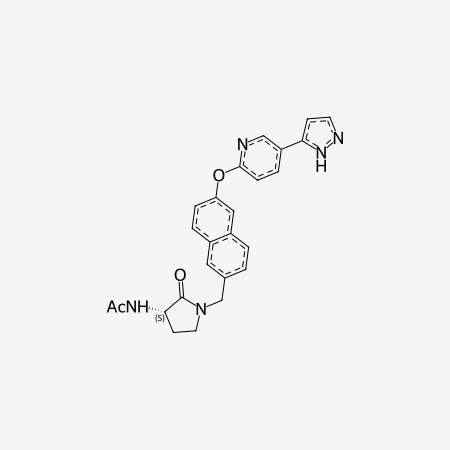 CC(=O)N[C@H]1CCN(Cc2ccc3cc(Oc4ccc(-c5ccn[nH]5)cn4)ccc3c2)C1=O